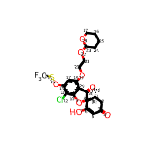 C[C@@H]1CC(=O)C=C(O)C12Oc1c(Cl)c(OSC(F)(F)F)cc(OCCOC3CCCCO3)c1C2=O